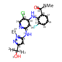 [2H]C([2H])(O)c1cc(Nc2cc(Nc3c(F)cccc3C(=O)NC)c(Cl)cn2)n(CC)n1